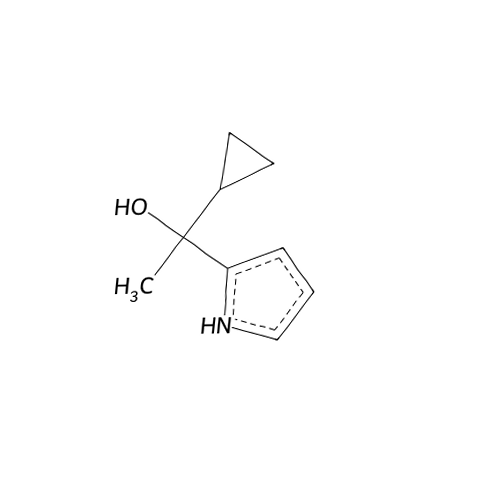 CC(O)(c1ccc[nH]1)C1CC1